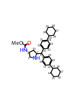 COC(=O)N[C@H]1CNC(C(c2ccc(C3CCCCC3)cc2)c2ccc(C3CCCCC3)cc2)C1